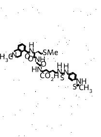 CSCC[C@H](NC(=O)c1cccc2c1CCN(C)C2)C(=O)NCC(=O)N[C@@H](CCCCNC(=S)Nc1ccc(NC(C)=S)cc1)C(=O)O